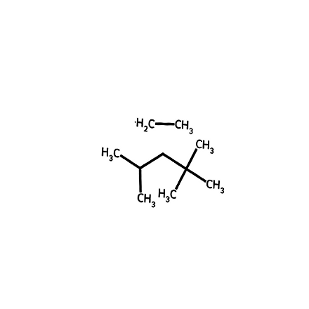 CC(C)CC(C)(C)C.[CH2]C